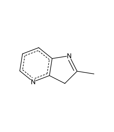 CC1=Nc2cccnc2C1